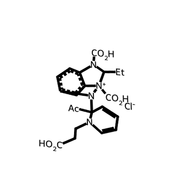 CCC1N(C(=O)O)c2ccc3cc2[N+]1(C(=O)O)N3C1(C(C)=O)C=CC=CN1CCC(=O)O.[Cl-]